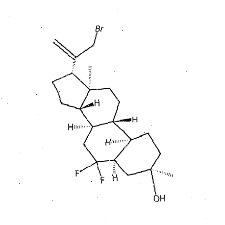 C=C(CBr)[C@H]1CC[C@H]2[C@@H]3CC(F)(F)[C@@H]4C[C@](C)(O)CC[C@@H]4[C@H]3CC[C@]12C